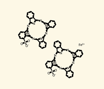 O=S(=O)([O-])c1cccc2c3nc4nc(nc5[nH]c(nc6nc(nc([nH]3)c12)-c1ccccc1-6)c1ccccc51)-c1ccccc1-4.O=S(=O)([O-])c1cccc2c3nc4nc(nc5[nH]c(nc6nc(nc([nH]3)c12)-c1ccccc1-6)c1ccccc51)-c1ccccc1-4.[Fe+2]